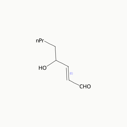 CCCCC(O)/C=C/C=O